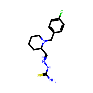 NC(=S)N/N=C/C1CCCCN1Cc1ccc(Cl)cc1